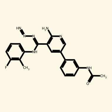 CC(=O)Nc1cccc(-c2cnc(N)c(/C(=N/N=N)Nc3cccc(F)c3C)c2)c1